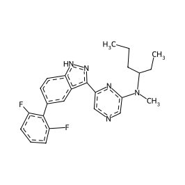 CCCC(CC)N(C)c1cncc(-c2n[nH]c3ccc(-c4c(F)cccc4F)cc23)n1